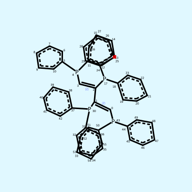 C(=C(\C(=C\P(c1ccccc1)c1ccccc1)P(c1ccccc1)c1ccccc1)P(c1ccccc1)c1ccccc1)/P(c1ccccc1)c1ccccc1